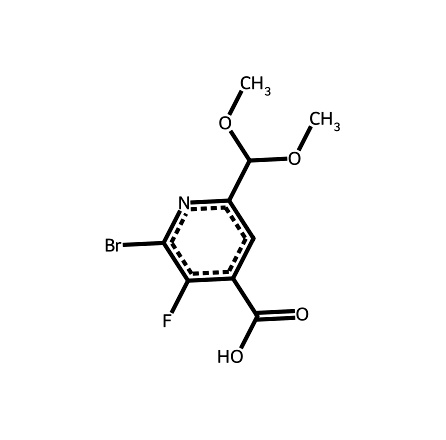 COC(OC)c1cc(C(=O)O)c(F)c(Br)n1